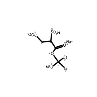 CCCCC(CC)(CC)OC(=O)C(CC(=O)[O-])S(=O)(=O)O.[Na+]